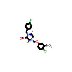 C[C@@H]1CN(COc2ccc(Cl)c([N+](=O)[O-])c2)[C@@H](C)C(=C=O)N1Cc1ccc(F)cc1